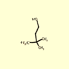 [CH2]C(C)(C)CCO